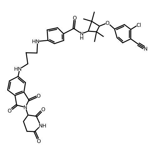 CC1(C)C(NC(=O)c2ccc(NCCCNc3ccc4c(c3)C(=O)N(C3CCC(=O)NC3=O)C4=O)cc2)C(C)(C)C1Oc1ccc(C#N)c(Cl)c1